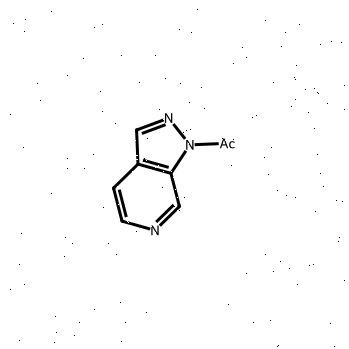 CC(=O)n1ncc2ccncc21